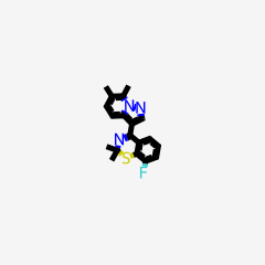 Cc1ccc2c(C3=NC(C)(C)Sc4c(F)cccc43)cnn2c1C